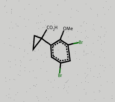 COc1c(Br)cc(Br)cc1C1(C(=O)O)CC1